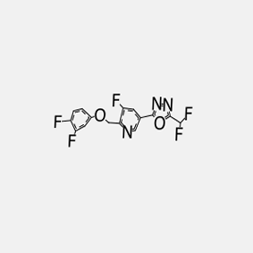 Fc1ccc(OCc2ncc(-c3nnc(C(F)F)o3)cc2F)cc1F